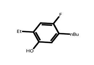 CCCCc1cc(O)c(CC)cc1F